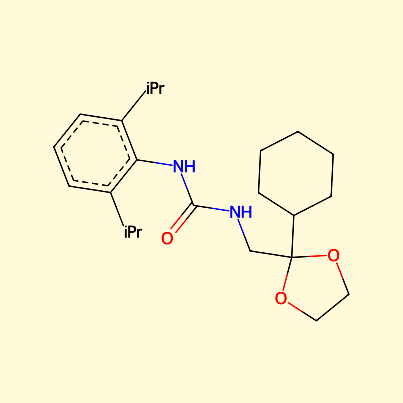 CC(C)c1cccc(C(C)C)c1NC(=O)NCC1(C2CCCCC2)OCCO1